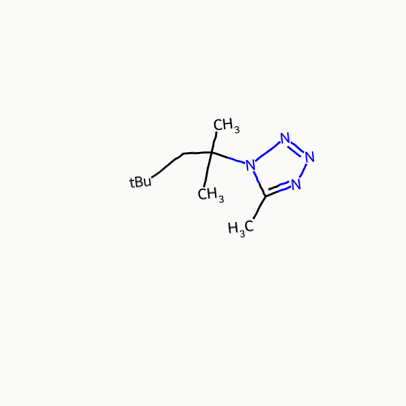 Cc1nnnn1C(C)(C)CC(C)(C)C